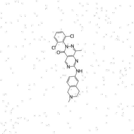 Cc1nn(-c2c(Cl)cccc2Cl)c(=O)c2cnc(Nc3ccc4c(c3)CCN(C)C4)nc12